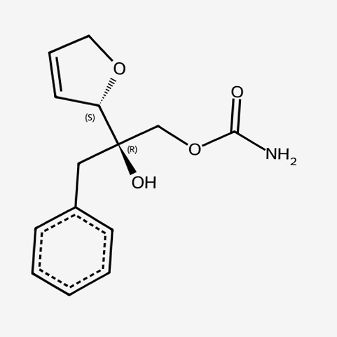 NC(=O)OC[C@](O)(Cc1ccccc1)[C@@H]1C=CCO1